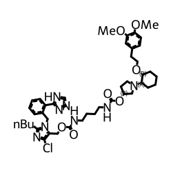 CCCCc1nc(Cl)c(COC(=O)NCCCCNC(=O)O[C@@H]2CCN([C@@H]3CCCC[C@H]3OCCc3ccc(OC)c(OC)c3)C2)n1Cc1ccccc1-c1nnc[nH]1